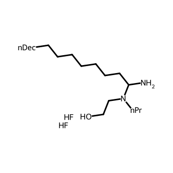 CCCCCCCCCCCCCCCCCC(N)N(CCC)CCO.F.F